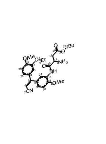 CCOc1cc(C(=CC#N)c2ccc(OC)c(NC(=O)C(N)CC(=O)OC(C)(C)C)c2)ccc1OC